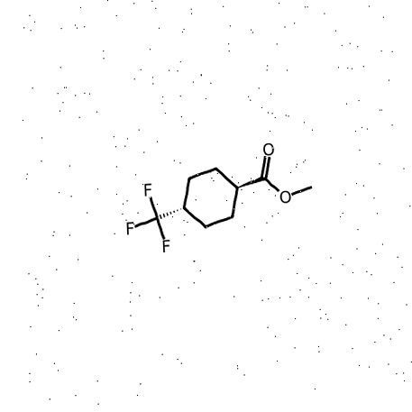 COC(=O)[C@H]1CC[C@H](C(F)(F)F)CC1